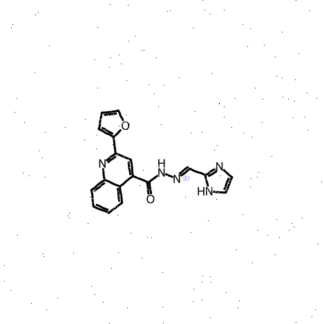 O=C(N/N=C/c1ncc[nH]1)c1cc(-c2ccco2)nc2ccccc12